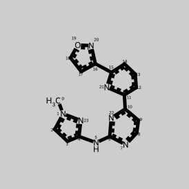 Cn1ccc(Nc2nccc(-c3cccc(-c4ccon4)n3)n2)n1